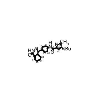 Cn1nc(C(=O)Nc2ccc(-c3n[nH]c(=O)c4ccccc34)cc2)cc1C(C)(C)C